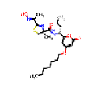 CCCCCCCOc1cc([C@@H](CCC)NC(=O)[C@]2(C)CSC(/C(C)=N/O)=N2)oc(=O)c1